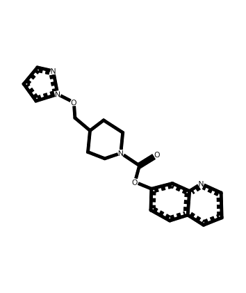 O=C(Oc1ccc2cccnc2c1)N1CCC(COn2cccn2)CC1